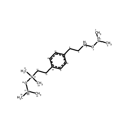 C[SiH](C)O[SiH2]CCc1ccc(CC[Si](C)(C)O[SiH](C)C)cc1